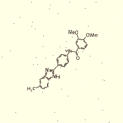 COc1ccc(C(=O)Nc2ccc(-c3nc4cc(C)ccc4[nH]3)cc2)cc1OC